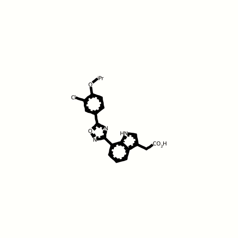 CC(C)Oc1ccc(-c2nc(-c3cccc4c(CC(=O)O)c[nH]c34)no2)cc1Cl